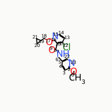 COc1ccc(CNC(=O)c2c(Cl)ccnc2OCC2CC2)cn1